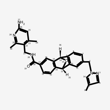 Cc1cnn(Cc2ccc3c(c2)[C@H]2O[C@@H]3c3cc(C(=O)NCc4c(C)cc(N)nc4C)ccc32)c1